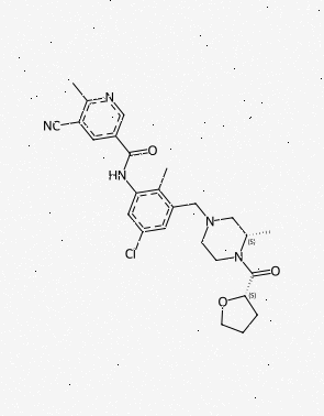 Cc1ncc(C(=O)Nc2cc(Cl)cc(CN3CCN(C(=O)[C@@H]4CCCO4)[C@@H](C)C3)c2C)cc1C#N